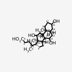 C[C@H](CCC(=O)O)[C@H]1CC[C@H]2[C@@H]3C(O)C[C@@H]4CC(O)CC[C@]4(C)[C@H]3CC(O)[C@]12C